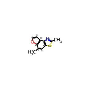 Cc1nc2c(cc(C)c3occc32)s1